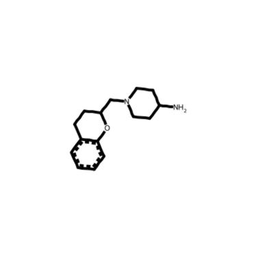 NC1CCN(CC2CCc3ccccc3O2)CC1